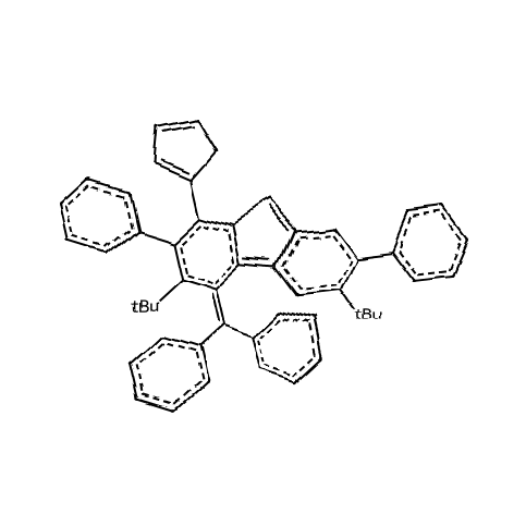 CC(C)(C)c1cc2c(cc1-c1ccccc1)=Cc1c(C3=CC=CC3)c(-c3ccccc3)c(C(C)(C)C)c(=C(c3ccccc3)c3ccccc3)c1=2